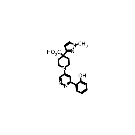 Cn1ccc(C2(C(=O)O)CCN(c3cnnc(-c4ccccc4O)c3)CC2)n1